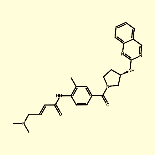 Cc1cc(C(=O)N2CC[C@@H](Nc3ncc4ccccc4n3)C2)ccc1NC(=O)/C=C/CN(C)C